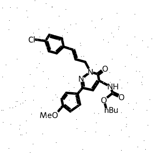 CCCCOC(=O)Nc1cc(-c2ccc(OC)cc2)nn(CC=Cc2ccc(Cl)cc2)c1=O